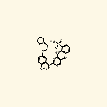 CNS(=O)(=O)c1ccccc1Nc1nc(Nc2cc(OCCN3CCCC3)ccc2OC)ncc1Br